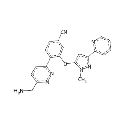 Cn1nc(-c2ccccn2)cc1Oc1cc(C#N)ccc1-c1ccc(CN)nn1